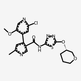 COc1cnc(Cl)cc1-c1cc(C)ncc1C(=O)Nc1nnc(O[C@H]2CCCOC2)s1